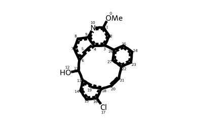 COc1cc2c3cc(ccc3n1)C(O)c1ccc(Cl)c(c1)/C=C\c1cccc-2c1